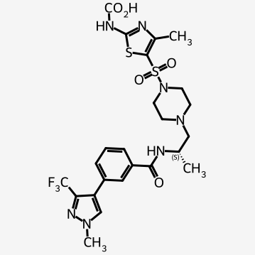 Cc1nc(NC(=O)O)sc1S(=O)(=O)N1CCN(C[C@H](C)NC(=O)c2cccc(-c3cn(C)nc3C(F)(F)F)c2)CC1